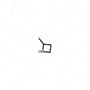 IC1CCN1